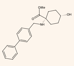 COC(=O)[C@]1(NCc2ccc(-c3ccccc3)cc2)CC[C@@H](O)CC1